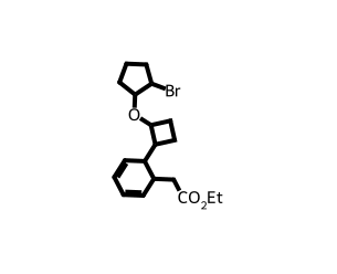 CCOC(=O)CC1C=CC=CC1C1CCC1OC1CCCC1Br